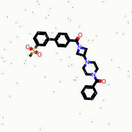 CS(=O)(=O)c1cccc(-c2ccc(C(=O)N3CC(N4CCN(C(=O)c5ccccc5)CC4)C3)cc2)c1